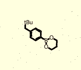 CC(C)(C)Cc1ccc(B2OCCCO2)cc1